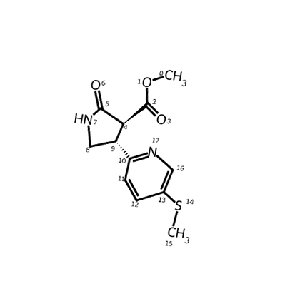 COC(=O)[C@@H]1C(=O)NC[C@H]1c1ccc(SC)cn1